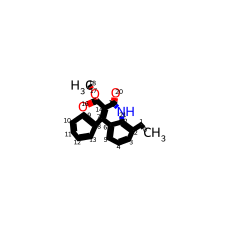 CCc1cccc2c(-c3ccccc3)c(C(=O)OC)c(=O)[nH]c12